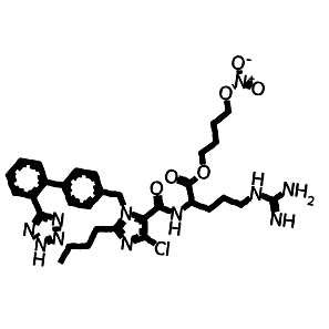 CCCCc1nc(Cl)c(C(=O)NC(CCCNC(=N)N)C(=O)OCCCCO[N+](=O)[O-])n1Cc1ccc(-c2ccccc2-c2nn[nH]n2)cc1